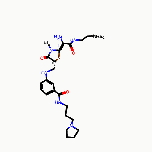 CCN1C(=O)[C@@H](CNc2cccc(C(=O)NCCCN3CCCC3)c2)S/C1=C(/N)C(=O)NCCNC(C)=O